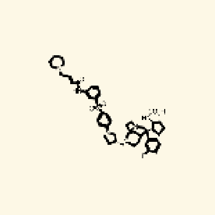 O=C(O)N[C@H]1CCC[C@@H]1C(CN1CCC1)(c1cccc(F)c1)C1CCN(C[C@@H]2CCN(c3ccc(S(=O)(=O)c4cccc(NC(=O)/C=C/CN5CCCCC5)c4)cc3)C2)CC1